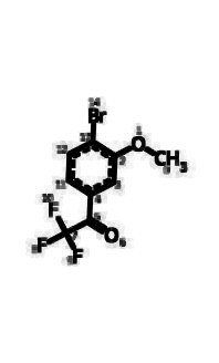 COc1cc(C(=O)C(F)(F)F)ccc1Br